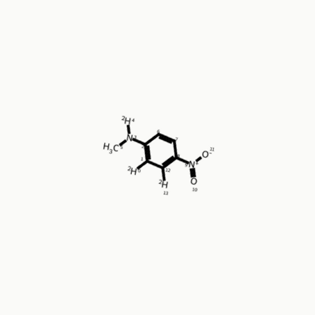 [2H]c1c(N([2H])C)ccc([N+](=O)[O-])c1[2H]